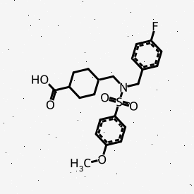 COc1ccc(S(=O)(=O)N(Cc2ccc(F)cc2)CC2CCC(C(=O)O)CC2)cc1